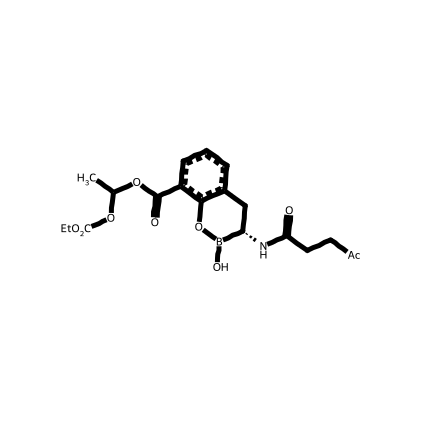 CCOC(=O)OC(C)OC(=O)c1cccc2c1OB(O)[C@@H](NC(=O)CCC(C)=O)C2